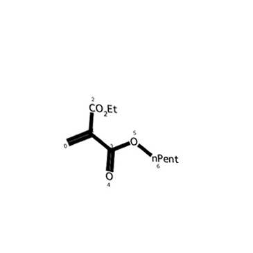 C=C(C(=O)OCC)C(=O)OCCCCC